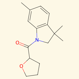 Cc1ccc2c(c1)N(C(=O)C1CCCO1)CC2(C)C